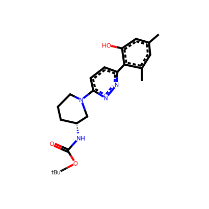 Cc1cc(C)c(-c2ccc(N3CCC[C@@H](NC(=O)OC(C)(C)C)C3)nn2)c(O)c1